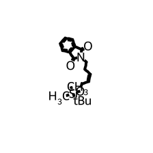 CC(C)(C)[Si](C)(C)OC/C=C\CCN1C(=O)c2ccccc2C1=O